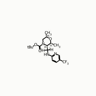 [2H]C([2H])(Nc1ccc(C(F)(F)F)cn1)[C@@H]1[C@H](C)O[C@H](C)CN1C(=O)OC(C)(C)C